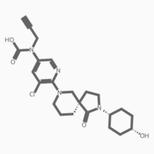 C#CCN(C(=O)O)c1cnc(N2CCC[C@@]3(CCN([C@H]4CC[C@@H](O)CC4)C3=O)C2)c(Cl)c1